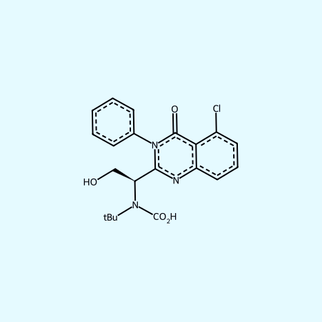 CC(C)(C)N(C(=O)O)[C@@H](CO)c1nc2cccc(Cl)c2c(=O)n1-c1ccccc1